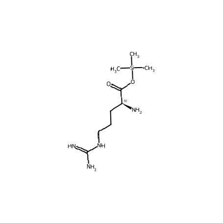 C[Si](C)(C)OC(=O)[C@@H](N)CCCNC(=N)N